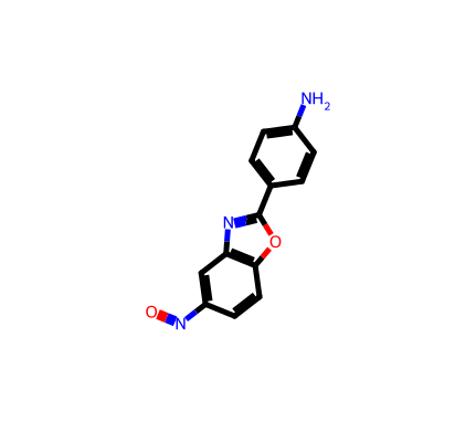 Nc1ccc(-c2nc3cc(N=O)ccc3o2)cc1